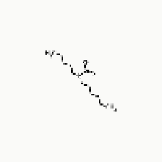 CCCCCCN(CCCCC)C(=S)S